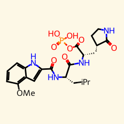 COc1cccc2[nH]c(C(=O)N[C@@H](CC(C)C)C(=O)N[C@@H](C[C@@H]3CCNC3=O)C(=O)OP(=O)(O)O)cc12